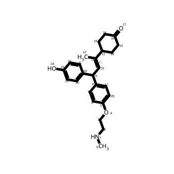 CNCCOc1ccc(C(/C=C(\C)C2CCC(=O)CC2)c2ccc(O)cc2)cc1